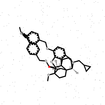 COc1ccc(COc2ccc3c4c2O[C@H]2C5(OC)CCC6(C[C@@H]5COCc5ccc(C#N)cc5)[C@@H](C3)N(CC3CC3)CC[C@]426)cc1